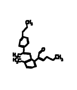 CCC/C=C(\C=O)c1cccc(C)c1/C=C(\C)c1ccc(CCC)cc1